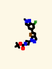 Cn1cc2cc(-c3cc4cnn(C5CN(C(=O)OC(C)(C)C)C5)c4s3)cc(F)c2n1